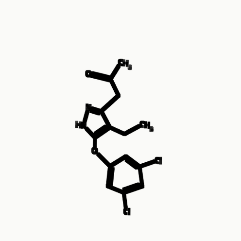 CCc1c(CC(C)=O)n[nH]c1Oc1cc(Cl)cc(Cl)c1